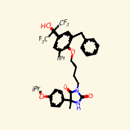 CCCc1cc(C(O)(C(F)(F)F)C(F)(F)F)cc(Cc2ccccc2)c1OCCCCN1C(=O)NC(C)(c2ccc(OC(C)C)cc2)C1=O